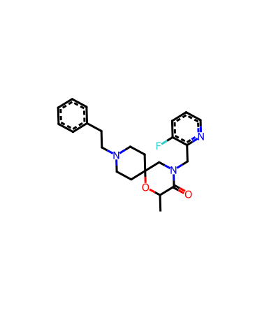 CC1OC2(CCN(CCc3ccccc3)CC2)CN(Cc2ncccc2F)C1=O